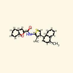 CC(=O)c1c(-c2ccc(C)c3ccccc23)csc1NC(=O)c1cc2ccccc2o1